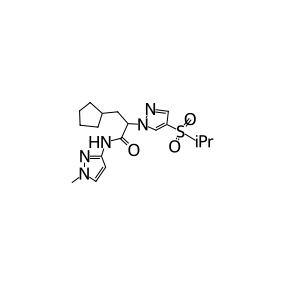 CC(C)S(=O)(=O)c1cnn(C(CC2CCCC2)C(=O)Nc2ccn(C)n2)c1